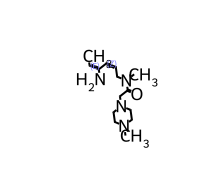 C/C=C(N)\C=C/CN(C)C(=O)CN1CCN(C)CC1